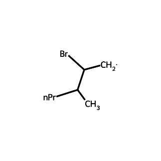 [CH2]C(Br)C(C)CCC